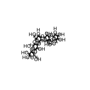 CC(=O)N[C@H]1[C@H](O[C@H]2[C@@H](O)[C@@H](CO)O[C@@H](O[C@H]3[C@H](O)[C@@H](O)[C@H](O)O[C@@H]3CO)[C@@H]2O)O[C@H](CO)[C@@H](O)[C@@H]1O[C@@H]1O[C@H](CO)[C@H](O)[C@H](O[C@@H]2O[C@H](CO)[C@H](O)[C@H](O)[C@H]2O)[C@H]1O